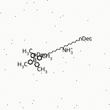 CCCCCCCCCCCCCCCCCCC([NH3+])CCCCCCCCCCCCCCCCCC.Cc1ccc([B-](c2ccc(C)cc2)(c2ccc(C)cc2)c2ccc(C)cc2)cc1